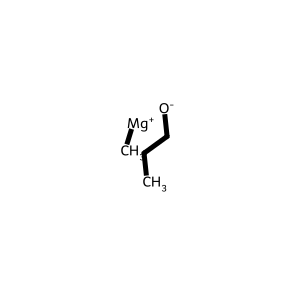 CCC[O-].[CH3][Mg+]